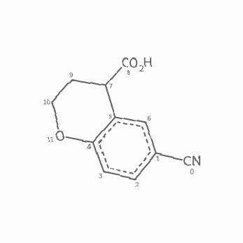 N#Cc1ccc2c(c1)C(C(=O)O)CCO2